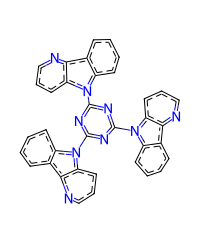 c1ccc2c(c1)c1ncccc1n2-c1nc(-n2c3ccccc3c3ncccc32)nc(-n2c3ccccc3c3ncccc32)n1